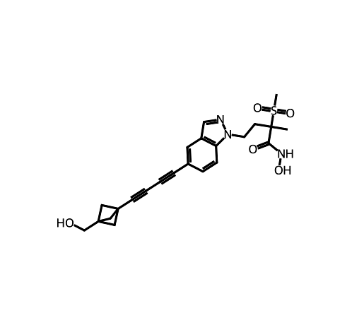 CC(CCn1ncc2cc(C#CC#CC34CC(CO)(C3)C4)ccc21)(C(=O)NO)S(C)(=O)=O